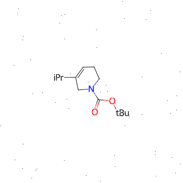 CC(C)C1=CCCN(C(=O)OC(C)(C)C)C1